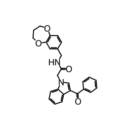 O=C(Cn1cc(C(=O)c2ccccc2)c2ccccc21)NCc1ccc2c(c1)OCCCO2